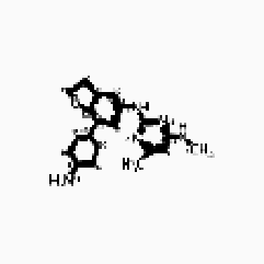 CNc1cc(C)nc(Nc2cc3c(c(C4=CCC(N)CC4)c2)OCC3)n1